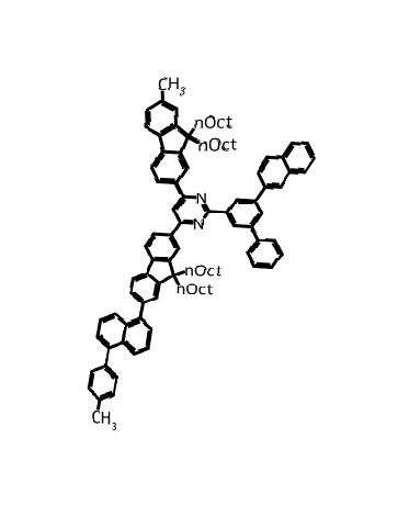 CCCCCCCCC1(CCCCCCCC)c2cc(C)ccc2-c2ccc(-c3cc(-c4ccc5c(c4)C(CCCCCCCC)(CCCCCCCC)c4cc(-c6cccc7c(-c8ccc(C)cc8)cccc67)ccc4-5)nc(-c4cc(-c5ccccc5)cc(-c5ccc6ccccc6c5)c4)n3)cc21